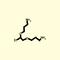 CCC(COCCCN)OCCCN